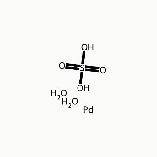 O.O.O=S(=O)(O)O.[Pd]